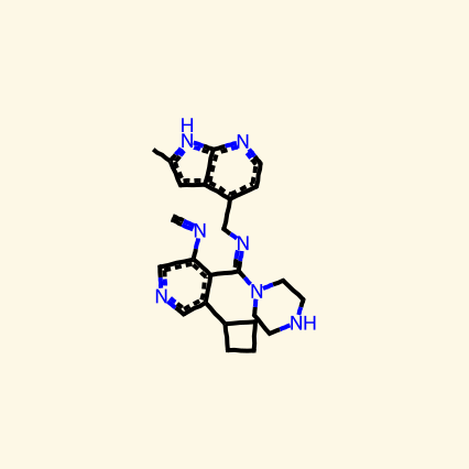 C=Nc1cncc(C2CCC2)c1/C(=N\Cc1ccnc2[nH]c(C)cc12)N1CCNCC1